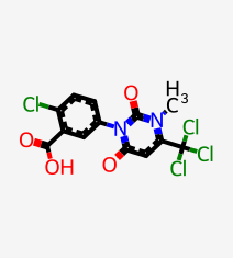 Cn1c(C(Cl)(Cl)Cl)cc(=O)n(-c2ccc(Cl)c(C(=O)O)c2)c1=O